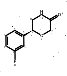 O=C1CO[C@@H](c2cccc(F)c2)CN1